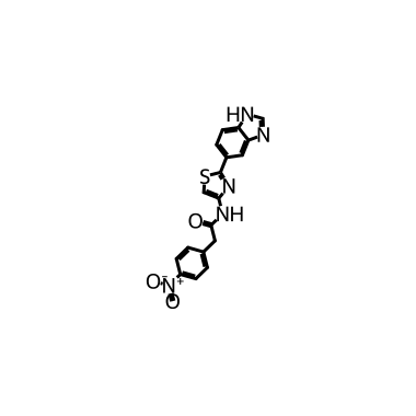 O=C(Cc1ccc([N+](=O)[O-])cc1)Nc1csc(-c2ccc3[nH]cnc3c2)n1